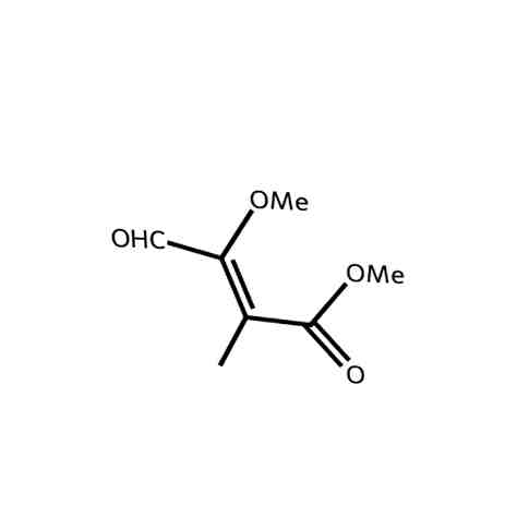 COC(=O)C(C)=C(C=O)OC